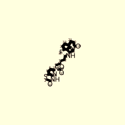 O=C1CSc2ccc(N3C[C@@H](CCCN[C@H]4Cn5c(=O)ccc6ccc(F)c4c65)OC3=O)nc2N1